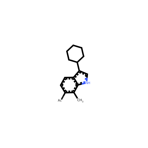 CC(=O)c1ccc2c(C3CCCCC3)c[nH]c2c1C